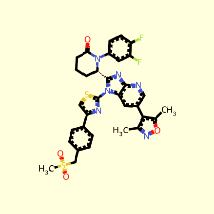 Cc1noc(C)c1-c1cnc2nc([C@@H]3CCCC(=O)N3c3ccc(F)c(F)c3)n(-c3nc(-c4ccc(CS(C)(=O)=O)cc4)cs3)c2c1